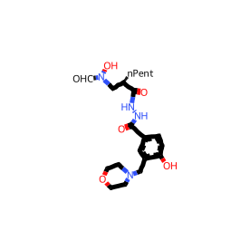 CCCCC[C@H](CN(O)C=O)C(=O)NNC(=O)c1ccc(O)c(CN2CCOCC2)c1